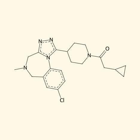 CN1Cc2cc(Cl)ccc2-n2c(nnc2C2CCN(C(=O)CC3CC3)CC2)C1